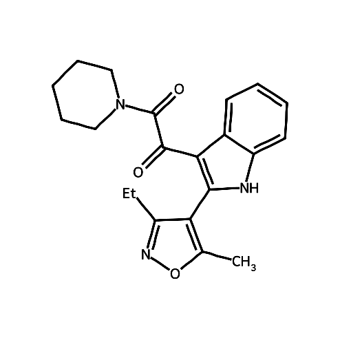 CCc1noc(C)c1-c1[nH]c2ccccc2c1C(=O)C(=O)N1CCCCC1